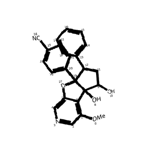 COc1cncc2c1C1(O)C(O)CC(c3ccccc3)C1(c1ccc(C#N)cc1)O2